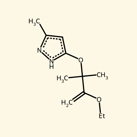 C=C(OCC)C(C)(C)Oc1cc(C)n[nH]1